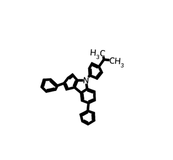 CC(C)c1ccc(-n2c3ccc(-c4ccccc4)cc3c3cc(-c4ccccc4)ccc32)cc1